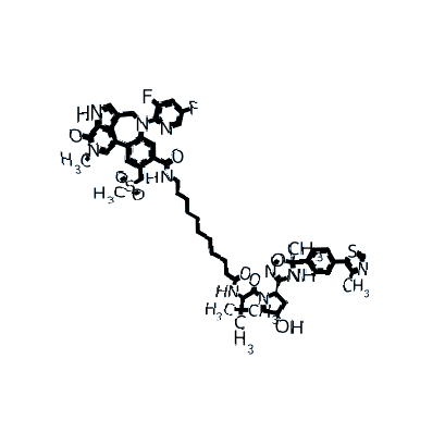 Cc1ncsc1-c1ccc([C@]2(C)NC([C@H]3C[C@@H](O)CN3C(=O)C(NC(=O)CCCCCCCCCCNC(=O)c3cc4c(cc3CS(C)(=O)=O)-c3cn(C)c(=O)c5[nH]cc(c35)CN4c3ncc(F)cc3F)C(C)(C)C)=NO2)cc1